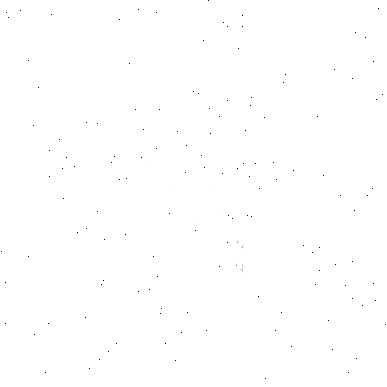 CC(C)=CC(OC(=O)C=[N+]=[N-])C(Cl)(Cl)C(F)(F)F